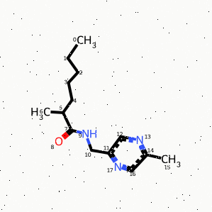 CCCCCC(C)C(=O)NCc1cnc(C)cn1